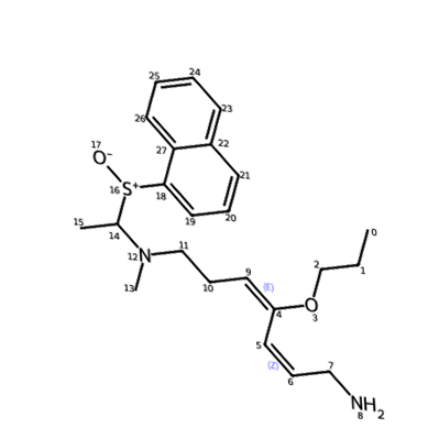 CCCOC(/C=C\CN)=C/CCN(C)C(C)[S+]([O-])c1cccc2ccccc12